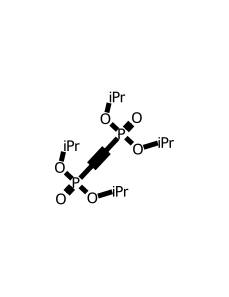 CC(C)OP(=O)(C#CP(=O)(OC(C)C)OC(C)C)OC(C)C